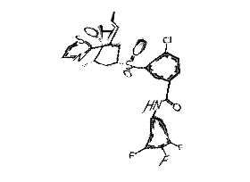 CCC1C[C@H](S(=O)(=O)c2cc(C(=O)Nc3cc(F)c(F)c(F)c3)ccc2Cl)C[C@H](C)[C@@]1(O)c1nccs1